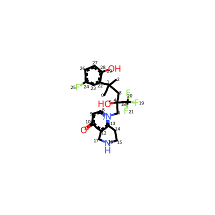 CC(C)(CC(O)(Cn1ccc(=O)c2c1CCNC2)C(F)(F)F)c1cc(F)ccc1O